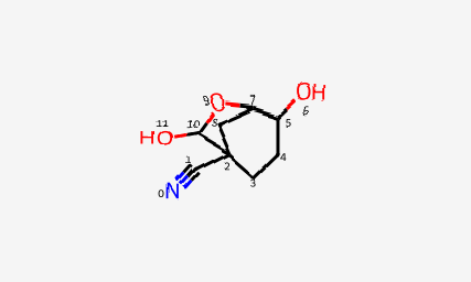 N#CC12CCC(O)C(C1)OC2O